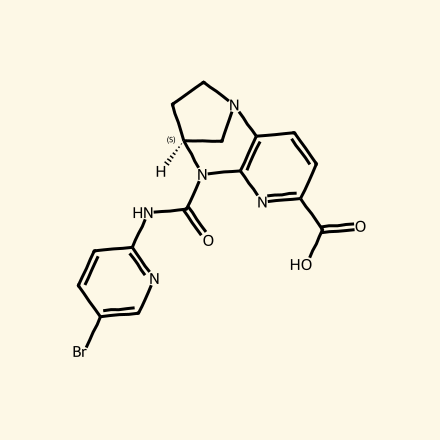 O=C(O)c1ccc2c(n1)N(C(=O)Nc1ccc(Br)cn1)[C@H]1CCN2C1